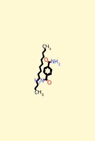 CCCCCCCCCCCCCC.NC(=O)c1ccc(C(N)=O)cc1